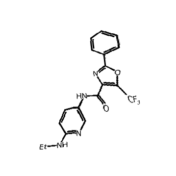 CCNc1ccc(NC(=O)c2nc(-c3ccccc3)oc2C(F)(F)F)cn1